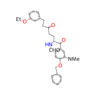 CCOc1cccc(CCC(=O)CCC(NC=O)C(=O)c2ccc(OCc3ccccc3)c(NC)c2)c1